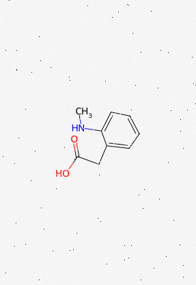 CNc1ccccc1CC(=O)O